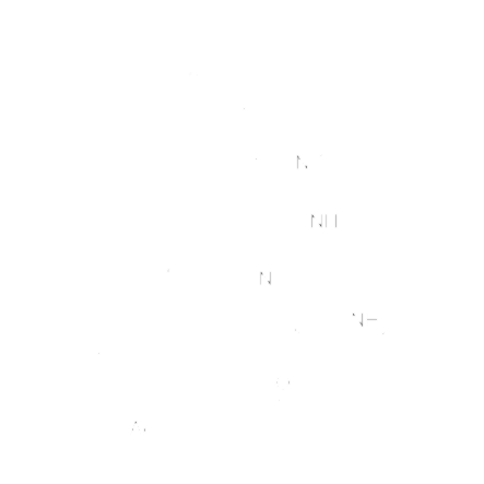 CC(=O)c1cccc(N(C(N)=O)c2cc(C3CC3)n[nH]2)c1